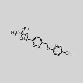 CC(C)(C)[Si](C)(C)OCC1=CC=C(COc2ccc(O)nn2)SS1